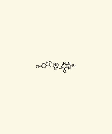 Cn1c(Br)nc2ncn(Cc3nc(CC(O)c4ccc(Cl)cc4)no3)c(=O)c21